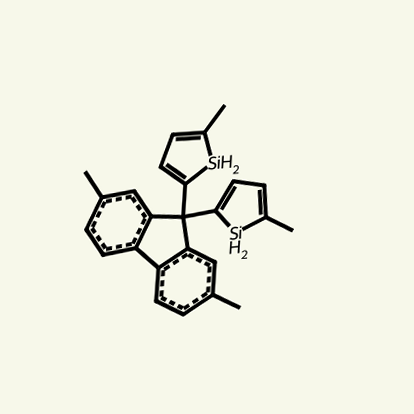 CC1=CC=C(C2(C3=CC=C(C)[SiH2]3)c3cc(C)ccc3-c3ccc(C)cc32)[SiH2]1